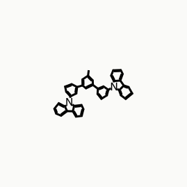 Cc1cc(-c2cccc(-n3c4ccccc4c4ccccc43)c2)cc(-c2cccc(-n3c4ccccc4c4ccccc43)c2)c1